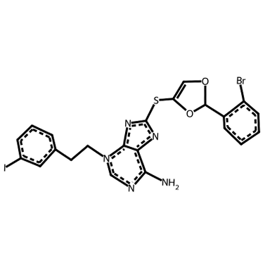 Nc1ncn(CCc2cccc(I)c2)c2nc(SC3=COC(c4ccccc4Br)O3)nc1-2